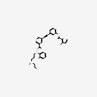 Cc1ccoc1C(=O)Nc1cccc(C#Cc2cncc(C(=O)N=S(CCCN(C)CCO)c3ccccc3O)c2)c1